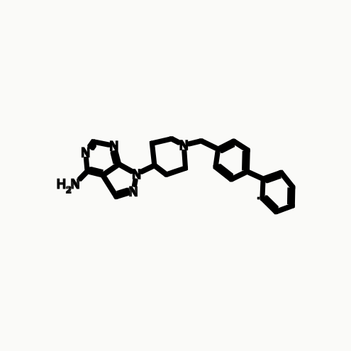 Nc1ncnc2c1cnn2C1CCN(Cc2ccc(-c3[c]cccc3)cc2)CC1